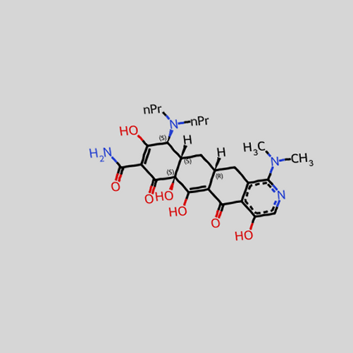 CCCN(CCC)[C@@H]1C(O)=C(C(N)=O)C(=O)[C@@]2(O)C(O)=C3C(=O)c4c(O)cnc(N(C)C)c4C[C@H]3C[C@@H]12